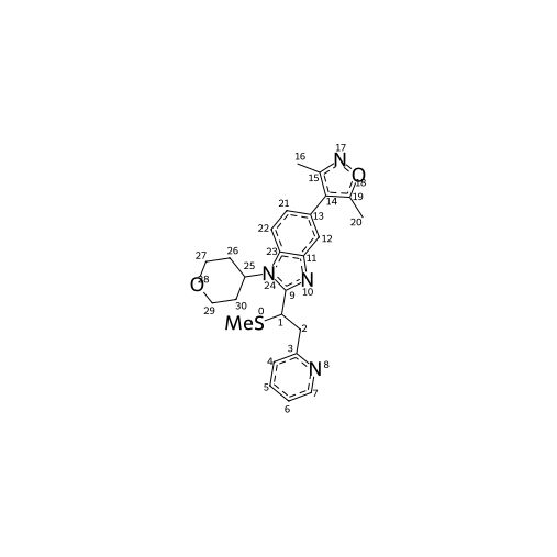 CSC(Cc1ccccn1)c1nc2cc(-c3c(C)noc3C)ccc2n1C1CCOCC1